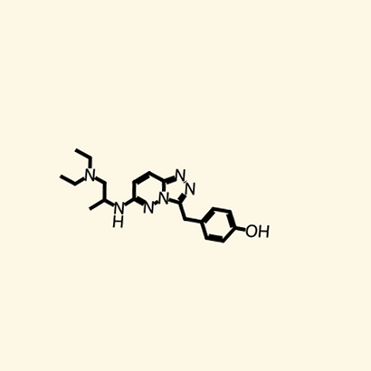 CCN(CC)CC(C)Nc1ccc2nnc(Cc3ccc(O)cc3)n2n1